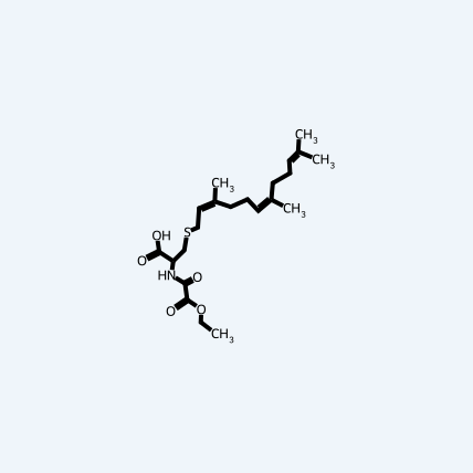 CCOC(=O)C(=O)NC(CSCC=C(C)CCC=C(C)CCC=C(C)C)C(=O)O